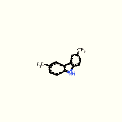 FC(F)(F)c1ccc2[nH]c3ccc(C(F)(F)F)cc3c2c1